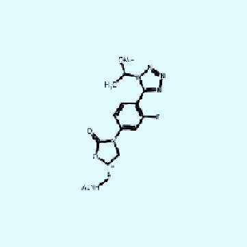 COC(C)n1nnnc1-c1ccc(N2C[C@H](CNC(C)=O)OC2=O)cc1F